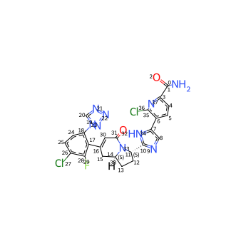 NC(=O)c1ccc(-c2cnc([C@@H]3CC[C@H]4CC(c5c(-n6cnnn6)ccc(Cl)c5F)=CC(=O)N43)[nH]2)c(Cl)n1